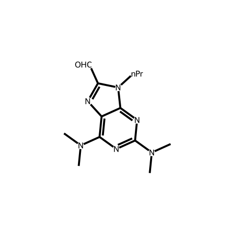 CCCn1c(C=O)nc2c(N(C)C)nc(N(C)C)nc21